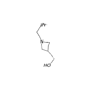 C[C](C)CN1CC(CO)C1